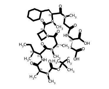 CC[C@H](C)[C@H](NC(=O)[C@H](C)N(C)C(=O)OC(C)(C)C)C(=O)N(C)[C@@H](C)C(=O)N1CC[C@H]1C(=O)N(C)[C@@H](CC1CCCCC1)C(=O)N(C)CC(=O)N[C@@H](CC(=O)O)C(=O)O